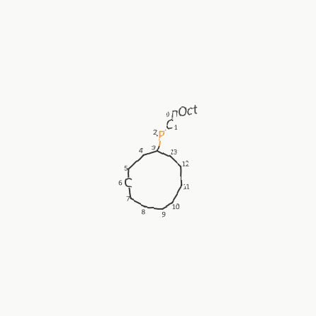 CCCCCCCCC[P]C1CCCCCCCCCC1